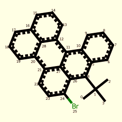 CC(C)(C)c1c2ccccc2c2c3cccc4cccc(c5ccc(Br)c1c52)c43